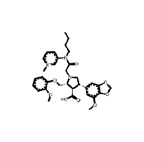 CCCCN(C(=O)CN1C[C@H](c2cc(OC)c3c(c2)OCO3)[C@@H](C(=O)O)[C@@H]1COc1ccccc1OC)c1ccc[n+](C)c1